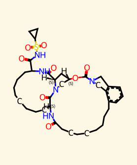 O=C1CCCCCCCCc2cccc3c2CN(C3)C(=O)O[C@H]2C[C@H]3C(=O)NC(C(=O)NS(=O)(=O)C4CC4)CCCCCCCC[C@H](N1)C(=O)N3C2